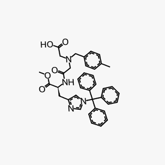 COC(=O)[C@H](Cc1cn(C(c2ccccc2)(c2ccccc2)c2ccccc2)cn1)NC(=O)CN(CC(=O)O)Cc1ccc(C)cc1